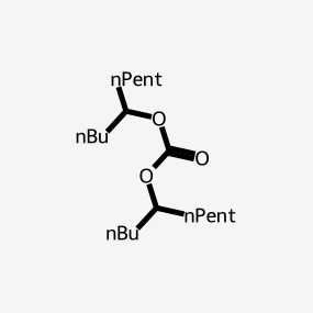 CCCCCC(CCCC)OC(=O)OC(CCCC)CCCCC